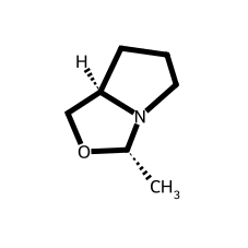 C[C@@H]1OC[C@H]2CCCN21